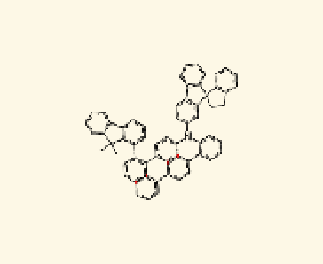 CC1(C)c2ccccc2-c2cccc(-c3ccccc3-c3ccc(N(c4ccc5c(c4)C4(CCc6ccccc64)c4ccccc4-5)c4ccccc4-c4ccc(-c5ccccc5)cc4)cc3)c21